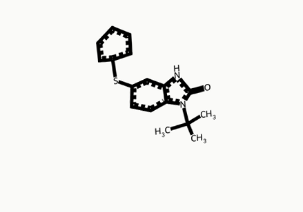 CC(C)(C)n1c(=O)[nH]c2cc(Sc3ccccc3)ccc21